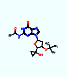 CC(C)C(=O)Nc1nc2c(ncn2[C@H]2CC(O[Si](C)(C)C(C)(C)C)[C@@H](C3(O)CC3)O2)c(=O)[nH]1